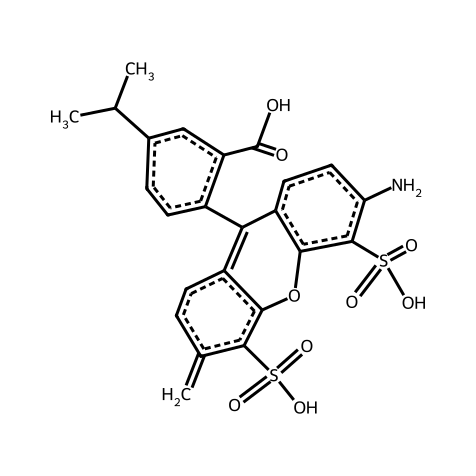 C=c1ccc2c(c1S(=O)(=O)O)Oc1c(ccc(N)c1S(=O)(=O)O)C=2c1ccc(C(C)C)cc1C(=O)O